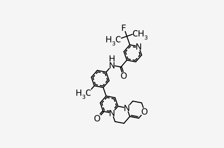 Cc1ccc(NC(=O)c2ccnc(C(C)(C)F)c2)cc1-c1cc2n(c(=O)c1)CCC1=COCCN12